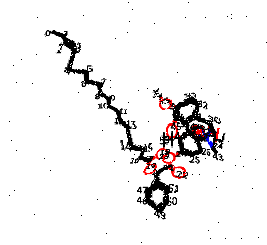 CCCCCCCCCCCCCCCCCC(=O)O[C@H](C(=O)OC1=CC[C@]2(O)[C@@H]3Cc4ccc(OC)c5c4[C@]2(CCN3C)[C@@H]1O5)c1ccccc1